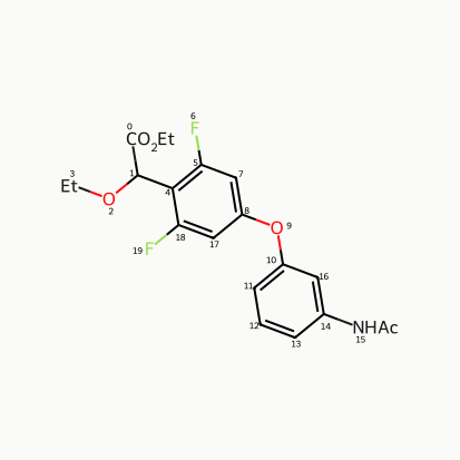 CCOC(=O)C(OCC)c1c(F)cc(Oc2cccc(NC(C)=O)c2)cc1F